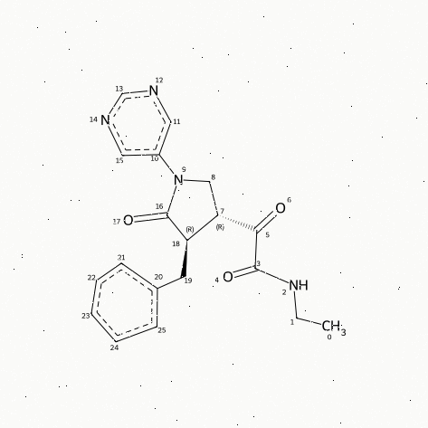 CCNC(=O)C(=O)[C@H]1CN(c2cncnc2)C(=O)[C@@H]1Cc1ccccc1